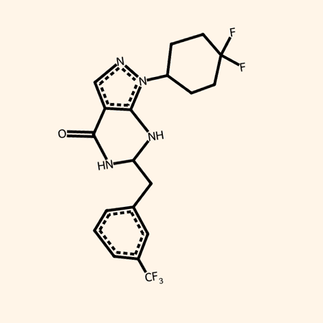 O=C1NC(Cc2cccc(C(F)(F)F)c2)Nc2c1cnn2C1CCC(F)(F)CC1